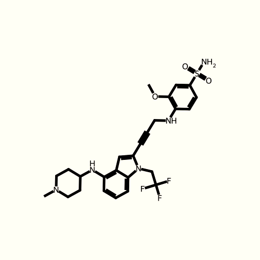 COc1cc(S(N)(=O)=O)ccc1NCC#Cc1cc2c(NC3CCN(C)CC3)cccc2n1CC(F)(F)F